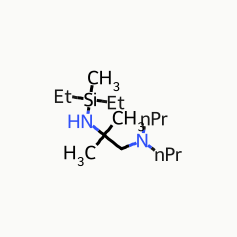 CCCN(CCC)CC(C)(C)N[Si](C)(CC)CC